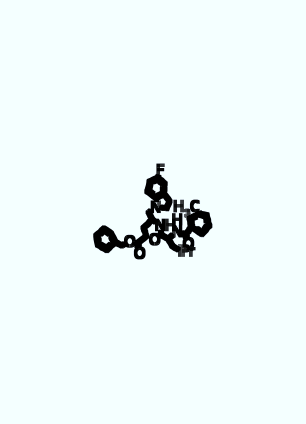 Cc1cccc(C(=O)NC(CC(C)C)C(=O)NC(CCC(=O)OCc2ccccc2)CN2CCc3cc(F)ccc32)c1